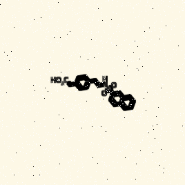 O=C(O)Cc1ccc(CCNS(=O)(=O)c2ccc3ccccc3c2)cc1